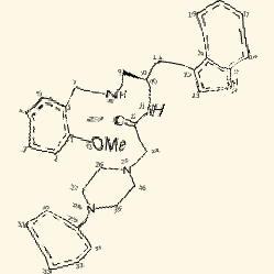 COc1ccccc1CNC[C@@H](Cc1c[nH]c2ccccc12)NC(=O)CN1CCN(c2ccccc2)CC1